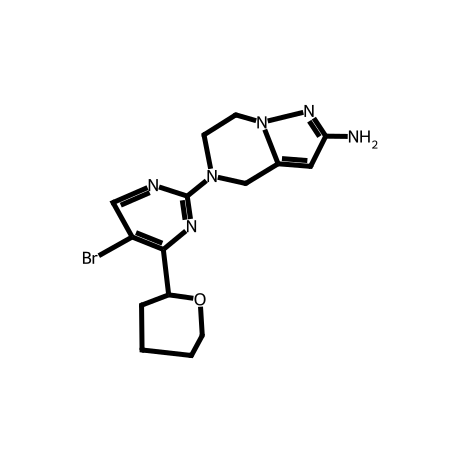 Nc1cc2n(n1)CCN(c1ncc(Br)c(C3CCCCO3)n1)C2